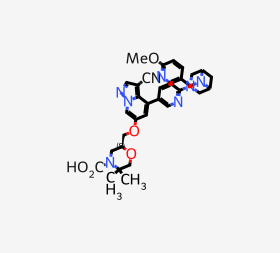 COc1ccc(CN2C3CC2CN(c2ccc(-c4cc(OC[C@@H]5CN(C(=O)O)C(C)(C)CO5)cn5ncc(C#N)c45)cn2)C3)cn1